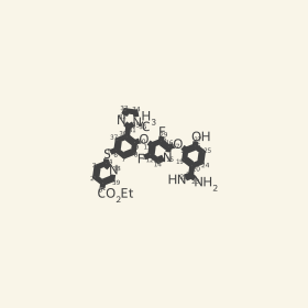 CCOC(=O)c1ccc(Sc2ccc(Oc3c(F)cnc(Oc4cc(C(=N)N)ccc4O)c3F)c(C3N=CCN3C)c2)nc1